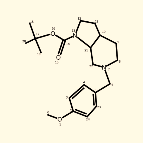 COc1ccc(CN2CCC3CCN(C(=O)OC(C)(C)C)C3C2)cc1